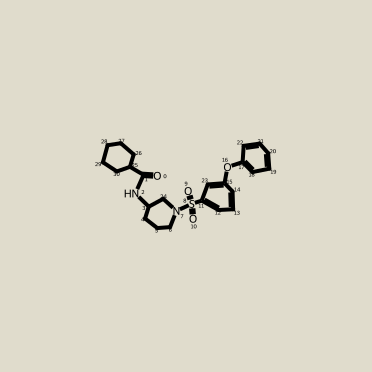 O=C(NC1CCCN(S(=O)(=O)c2cccc(Oc3ccccc3)c2)C1)C1CCCCC1